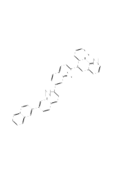 c1ccc2cc(-c3ccc4ccc(-c5ccc6ccc(-c7cc8cccnc8c8ncccc78)nc6c5)nc4c3)ccc2c1